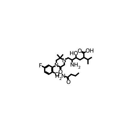 CC(C)C(CC(O)C(N)CN1CC(=O)N(c2cc(F)ccc2Cl)CC1(C)C)C(=O)O.CCCC(N)=O